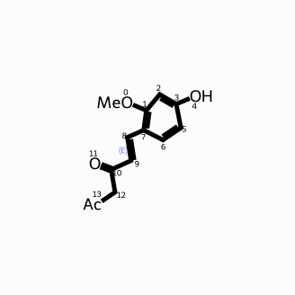 COc1cc(O)ccc1/C=C/C(=O)CC(C)=O